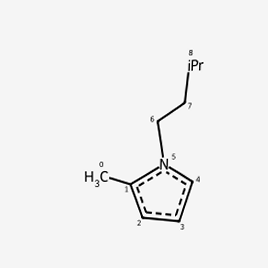 Cc1cccn1CCC(C)C